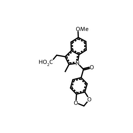 COc1ccc2c(c1)c(CC(=O)O)c(C)n2C(=O)c1ccc2c(c1)OCO2